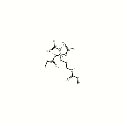 C=CC(=O)OCCC[Si](OC(C)=O)(OC(C)=O)OC(=O)CC